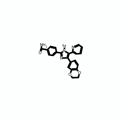 [2H]n1c(-c2ccc(C(N)=O)cc2)nc(-c2ccc3c(c2)OCCO3)c1-c1ccccn1